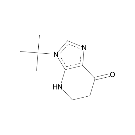 CC(C)(C)n1cnc2c1NCCC2=O